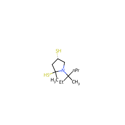 CCCC(C)(CC)N1C[C@@H](S)CC1(C)S